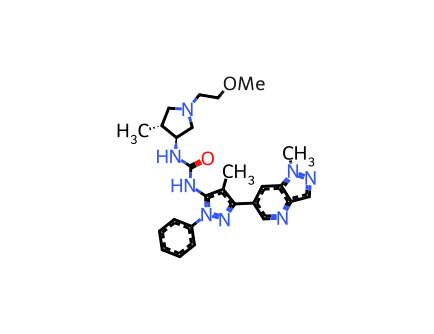 COCCN1C[C@@H](C)[C@H](NC(=O)Nc2c(C)c(-c3cnc4cnn(C)c4c3)nn2-c2ccccc2)C1